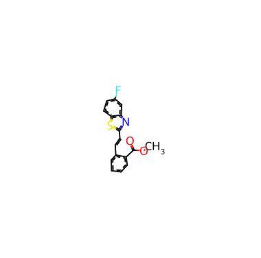 COC(=O)c1ccccc1C=Cc1nc2cc(F)ccc2s1